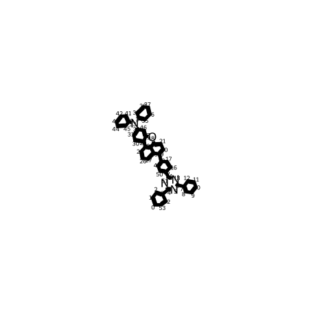 c1ccc(-c2nc(-c3ccccc3)nc(-c3ccc(-c4ccc5c6c(cccc46)-c4ccc(N(c6ccccc6)c6ccccc6)cc4O5)cc3)n2)cc1